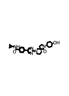 O=C(NC1CC1)c1ccc(-c2cnc(N3CCC[C@]4(CCN([C@H]5CC[C@H](O)CC5)C4=O)C3)nc2)cc1